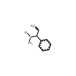 C=CC(c1ccccc1)N(C)CC